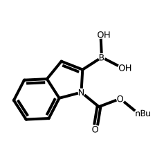 CCCCOC(=O)n1c(B(O)O)cc2ccccc21